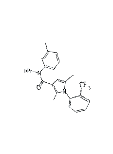 CCCN(C(=O)c1cc(C)n(-c2ccccc2C(F)(F)F)c1C)c1cccc(C)c1